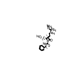 C[C@@H](NC(=O)N1C(=O)[C@](C)(CCNC(=N)N=N)[C@H]1C(=O)O)c1ccccc1